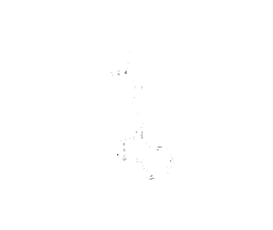 CCC(=O)OCCn1cnc2ccccc21